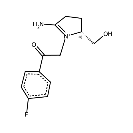 NC1=[N+](CC(=O)c2ccc(F)cc2)[C@@H](CO)CC1